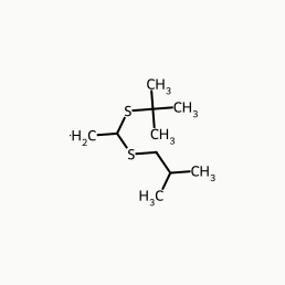 [CH2]C(SCC(C)C)SC(C)(C)C